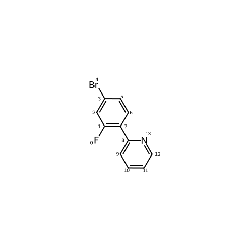 Fc1cc(Br)ccc1-c1ccccn1